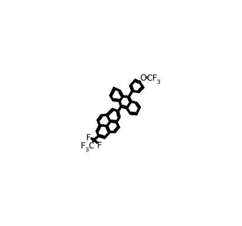 FC(F)(F)Oc1ccc(-c2c3ccccc3c(-c3cc4ccc5cc(C(F)(F)C(F)(F)F)cc6ccc(c3)c4c56)c3ccccc23)cc1